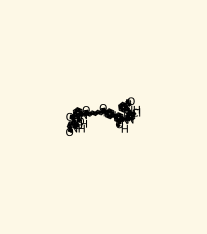 COc1cc(N2CCN(C(=O)CCCCCC(=O)Nc3cccc4c3C(=O)N(C3CCC(=O)NC3=O)C4=O)CC2)ccc1Nc1ncc(Cl)c(Nc2ccccc2P(C)(C)=O)n1